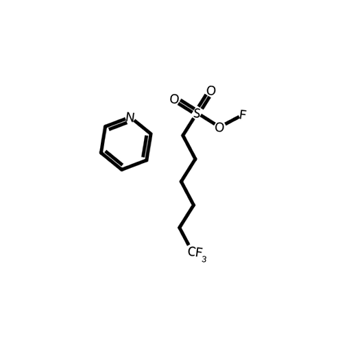 O=S(=O)(CCCCCC(F)(F)F)OF.c1ccncc1